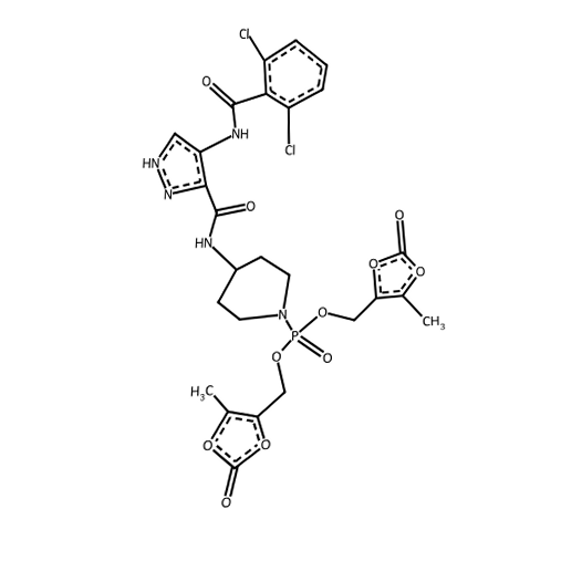 Cc1oc(=O)oc1COP(=O)(OCc1oc(=O)oc1C)N1CCC(NC(=O)c2n[nH]cc2NC(=O)c2c(Cl)cccc2Cl)CC1